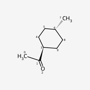 CC(=O)[C@H]1CC[C@H](C)CC1